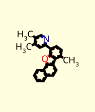 Cc1cnc(-c2ccc(C)c3c2oc2c4ccccc4ccc23)cc1C